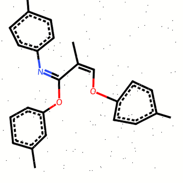 CC(=COc1ccc(C)cc1)C(=Nc1ccc(C)cc1)Oc1cccc(C)c1